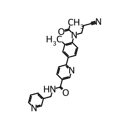 CC(=O)N(CCC#N)c1ccc(-c2ccc(C(=O)NCc3cccnc3)cn2)cc1C